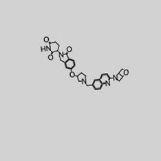 O=C1CCC(N2Cc3cc(O[C@H]4CCN(Cc5ccc6nc(N7CC8OCC87)ccc6c5)C4)ccc3C2=O)C(=O)N1